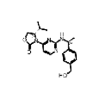 CC(C)[C@H]1COC(=O)N1c1ccnc(N[C@@H](C)c2ccc(CO)cc2)n1